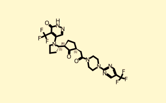 O=C1[C@H](CC(=O)N2CCN(c3ncc(C(F)(F)F)cn3)CC2)CC[C@@H]1[C@@H]1CCCN1c1cn[nH]c(=O)c1C(F)(F)F